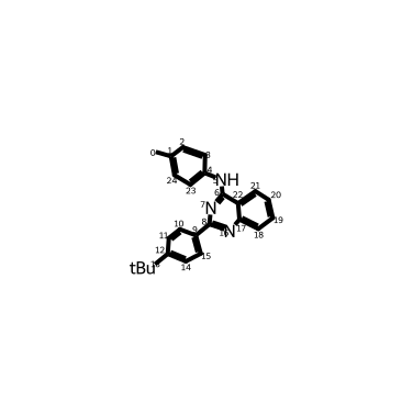 Cc1ccc(Nc2nc(-c3ccc(C(C)(C)C)cc3)nc3ccccc23)cc1